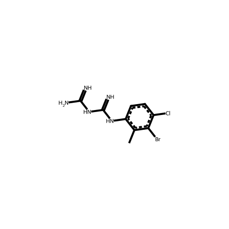 Cc1c(NC(=N)NC(=N)N)ccc(Cl)c1Br